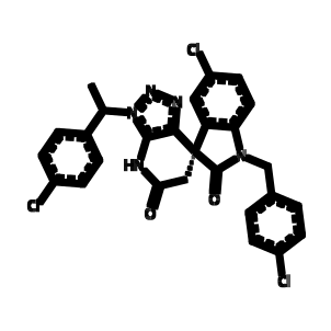 CC(c1ccc(Cl)cc1)n1nnc2c1NC(=O)C[C@]21C(=O)N(Cc2ccc(Cl)cc2)c2ccc(Cl)cc21